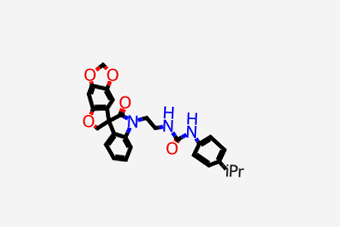 CC(C)c1ccc(NC(=O)NCCN2C(=O)C3(COc4cc5c(cc43)OCO5)c3ccccc32)cc1